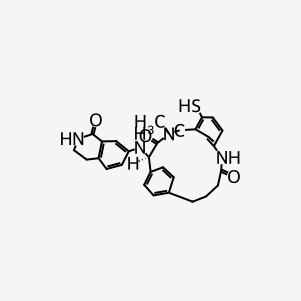 CN1Cc2cc(ccc2S)NC(=O)CCCc2ccc(cc2)[C@@H](Nc2ccc3c(c2)C(=O)NCC3)C1=O